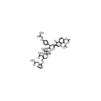 CO[C@@]1(NC(=O)C(NC(=O)c2cn(C)c3c(OC(C)=O)c(OC(C)=O)ccc3c2=O)c2ccc(OCC(=O)O)cc2)C(=O)N2C(C(=O)O)=C(CSc3nnnn3CC(=O)O)CS[C@H]21